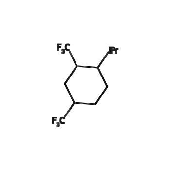 CC(C)C1CCC(C(F)(F)F)CC1C(F)(F)F